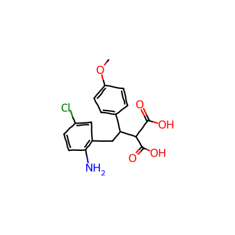 COc1ccc(C(Cc2cc(Cl)ccc2N)C(C(=O)O)C(=O)O)cc1